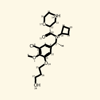 COc1c(Cl)cc([C@@H](C)N(C(=O)[C@H]2CNCCO2)C2CCC2)cc1OCCCO